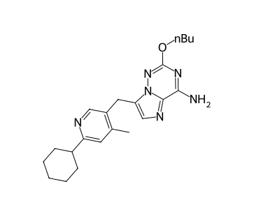 CCCCOc1nc(N)c2ncc(Cc3cnc(C4CCCCC4)cc3C)n2n1